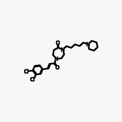 O=C(C=Cc1ccc(Cl)c(Cl)c1)N1CCC(=O)N(CCCCCN2CCCCC2)CC1